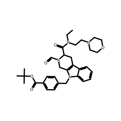 CCN(CCN1CCOCC1)C(=O)C1Cc2c(n(Cc3ccc(C(=O)OC(C)(C)C)cc3)c3ccccc23)CN1C=O